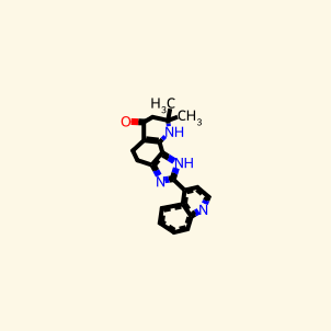 CC1(C)CC(=O)C2=C(N1)c1[nH]c(-c3ccnc4ccccc34)nc1CC2